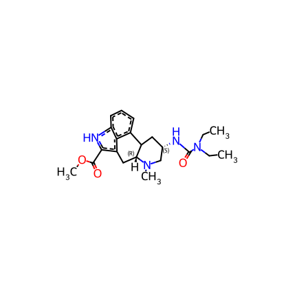 CCN(CC)C(=O)N[C@H]1CC2c3cccc4[nH]c(C(=O)OC)c(c34)C[C@H]2N(C)C1